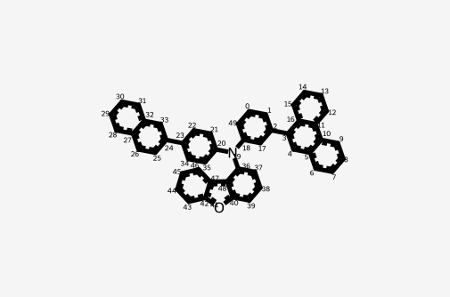 c1cc(-c2cc3ccccc3c3ccccc23)cc(N(c2ccc(-c3ccc4ccccc4c3)cc2)c2cccc3oc4ccccc4c23)c1